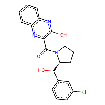 O=C(c1nc2ccccc2nc1O)N1CCC[C@H]1C(O)c1cccc(Cl)c1